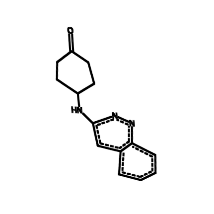 O=C1CCC(Nc2cc3ccccc3nn2)CC1